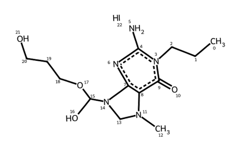 CCCn1c(N)nc2c(c1=O)N(C)CN2C(O)OCCCO.I